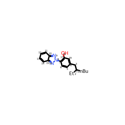 CCCCC(CC)Cc1ccc(-n2nc3ccccc3n2)c(O)c1